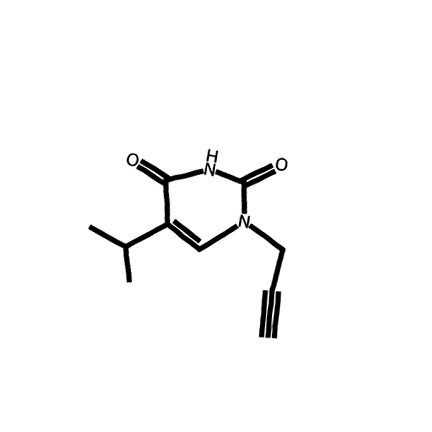 C#CCn1cc(C(C)C)c(=O)[nH]c1=O